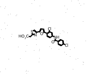 O=C(O)Cc1nc(-c2ccc(-c3ccc(NC(=O)c4ccc(Cl)cc4)cc3Cl)o2)cs1